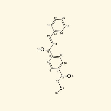 CSCC(=O)c1ccc(C(=O)C=Cc2ccccc2)cc1